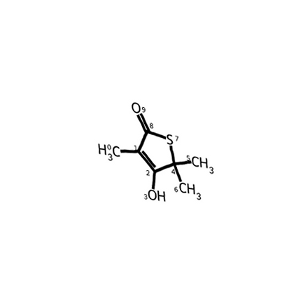 CC1=C(O)C(C)(C)SC1=O